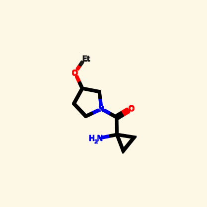 CCOC1CCN(C(=O)C2(N)CC2)C1